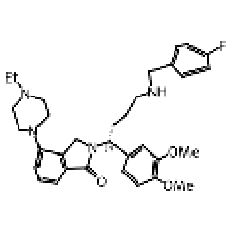 CCN1CCN(c2cccc3c2CN([C@H](CCCNCc2ccc(F)cc2)c2ccc(OC)c(OC)c2)C3=O)CC1